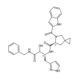 O=C(NCc1ccccc1)C(O)[C@H](Cc1cc[nH]n1)NC(=O)[C@@H]1CC2(CC2)CN1C(=O)c1cc2ccccc2[nH]1